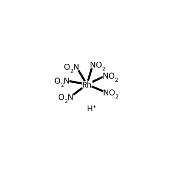 O=[N+]([O-])[Rh-]([N+](=O)[O-])([N+](=O)[O-])([N+](=O)[O-])([N+](=O)[O-])[N+](=O)[O-].[H+]